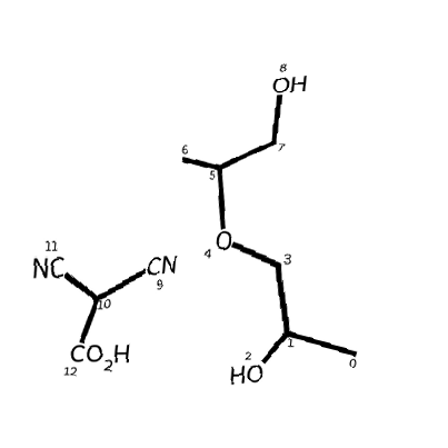 CC(O)COC(C)CO.N#CC(C#N)C(=O)O